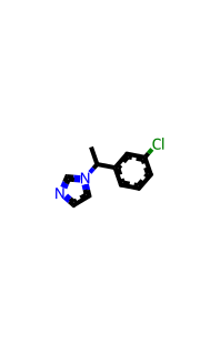 CC(c1cccc(Cl)c1)n1ccnc1